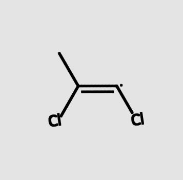 C/C(Cl)=[C]/Cl